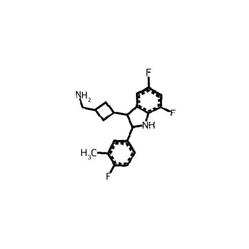 Cc1cc(C2Nc3c(F)cc(F)cc3C2C2CC(CN)C2)ccc1F